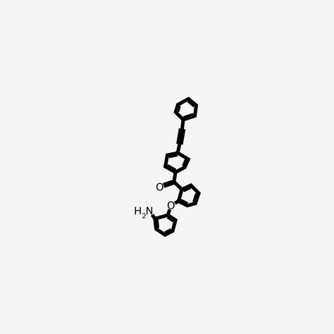 Nc1ccccc1Oc1ccccc1C(=O)c1ccc(C#Cc2ccccc2)cc1